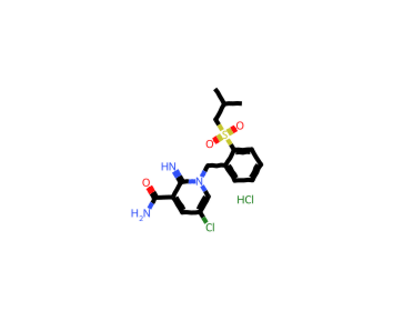 CC(C)CS(=O)(=O)c1ccccc1Cn1cc(Cl)cc(C(N)=O)c1=N.Cl